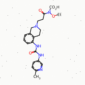 CCON(C(=O)O)C(=O)CCN1CCc2c(cccc2NC(=O)Nc2ccc(C)nc2)C1